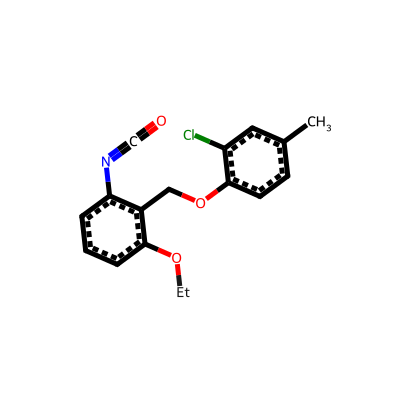 CCOc1cccc(N=C=O)c1COc1ccc(C)cc1Cl